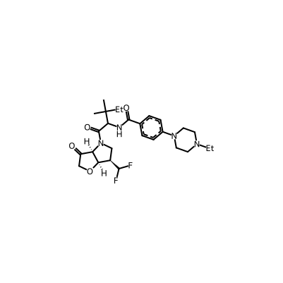 CCN1CCN(c2ccc(C(=O)NC(C(=O)N3C[C@@H](C(F)F)[C@H]4OCC(=O)[C@H]43)C(C)(C)CC)cc2)CC1